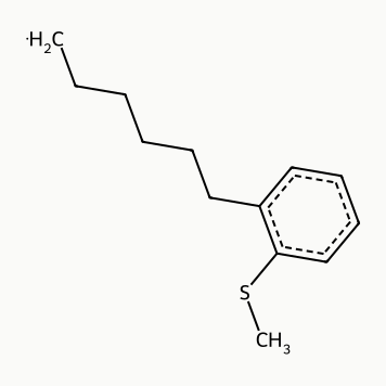 [CH2]CCCCCc1ccccc1SC